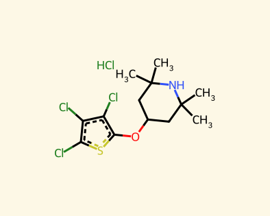 CC1(C)CC(Oc2sc(Cl)c(Cl)c2Cl)CC(C)(C)N1.Cl